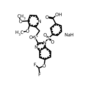 COc1ccnc(C[S+]([O-])c2nc3cc(OC(F)F)ccc3n2S(=O)(=O)c2cccc(C(=O)O)c2)c1OC.[NaH]